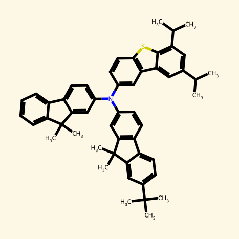 CC(C)c1cc(C(C)C)c2sc3ccc(N(c4ccc5c(c4)C(C)(C)c4ccccc4-5)c4ccc5c(c4)C(C)(C)c4cc(C(C)(C)C)ccc4-5)cc3c2c1